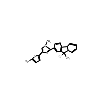 Cc1ccc(-c2cn(C)c(-c3ccc4c(c3)C(C)(C)C3C=CC=CC43)n2)s1